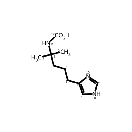 CC(C)(CCCc1c[nH]cn1)NC(=O)O